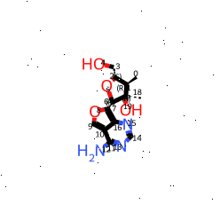 C[C@@H]1[C@@H](CO)O[C@@H](c2occ3c(N)ncnc23)[C@]1(C)O